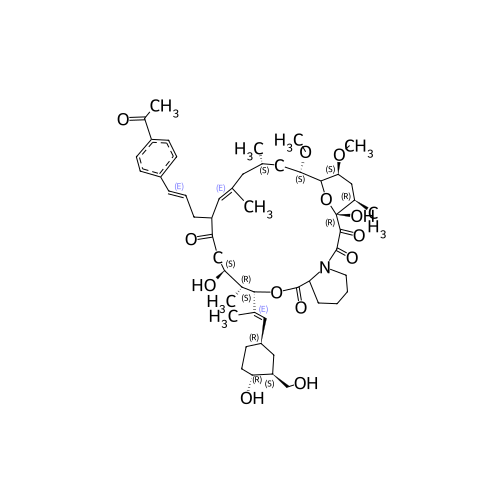 CO[C@H]1C[C@@H](C)C/C(C)=C/C(C/C=C/c2ccc(C(C)=O)cc2)C(=O)C[C@H](O)[C@@H](C)[C@@H](/C(C)=C/[C@@H]2CC[C@@H](O)[C@H](CO)C2)OC(=O)C2CCCCN2C(=O)C(=O)[C@]2(O)OC1[C@@H](OC)C[C@H]2C